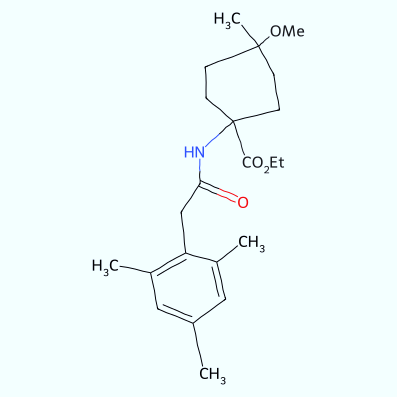 CCOC(=O)C1(NC(=O)Cc2c(C)cc(C)cc2C)CCC(C)(OC)CC1